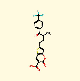 CC(CCc1cc2oc(=O)c(C(=O)O)cc2s1)C(=O)c1ccc(C(F)(F)F)cc1